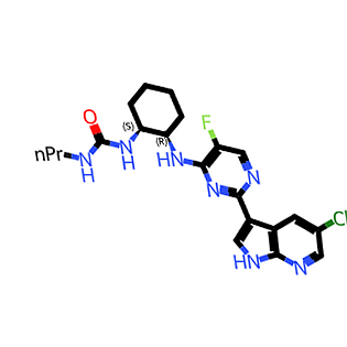 CCCNC(=O)N[C@H]1CCCC[C@H]1Nc1nc(-c2c[nH]c3ncc(Cl)cc23)ncc1F